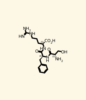 N=C(N)NCCC[C@H](NC(=O)[C@H](Cc1ccccc1)NC(=O)[C@@H](N)CO)C(=O)O